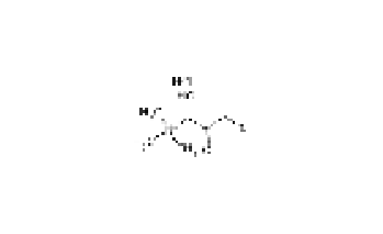 C[N+](C)(C)CC(=O)CCl.Cl.[OH-]